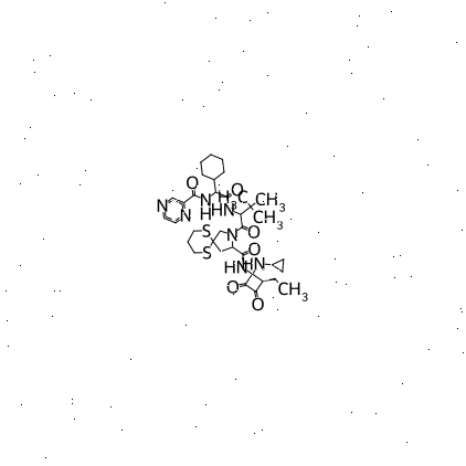 CC[C@H]1C(=O)C(=O)C1(NC(=O)C1CC2(CN1C(=O)C(NC(=O)C(NC(=O)c1cnccn1)C1CCCCC1)C(C)(C)C)SCCCS2)NC1CC1